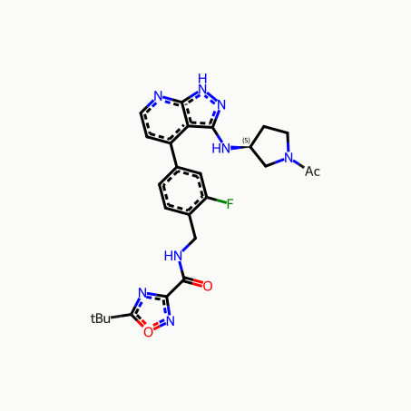 CC(=O)N1CC[C@H](Nc2n[nH]c3nccc(-c4ccc(CNC(=O)c5noc(C(C)(C)C)n5)c(F)c4)c23)C1